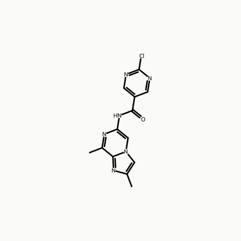 Cc1cn2cc(NC(=O)c3cnc(Cl)nc3)nc(C)c2n1